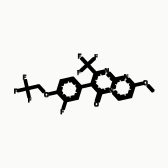 COc1ccn2c(=O)c(-c3ccc(OCC(F)(F)F)c(F)c3)c(C(F)(F)F)nc2n1